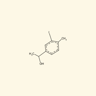 Cc1ccc(C(C)O)cc1I